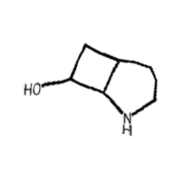 OC1CC2CCNC12